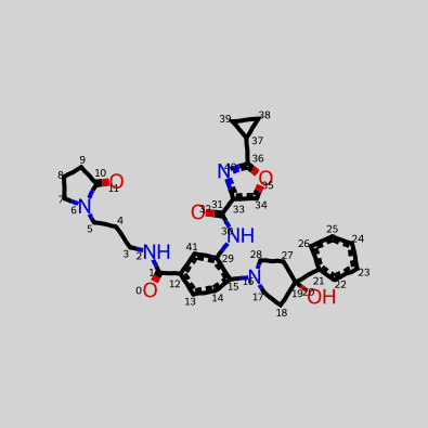 O=C(NCCCN1CCCC1=O)c1ccc(N2CCC(O)(c3ccccc3)CC2)c(NC(=O)c2coc(C3CC3)n2)c1